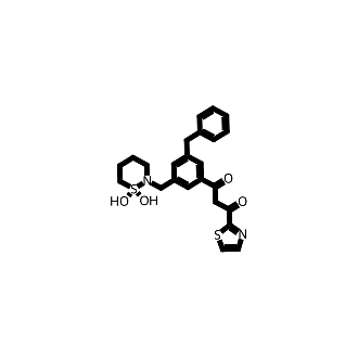 O=C(CC(=O)c1nccs1)c1cc(Cc2ccccc2)cc(CN2CCCCS2(O)O)c1